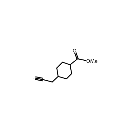 [C]#CCC1CCC(C(=O)OC)CC1